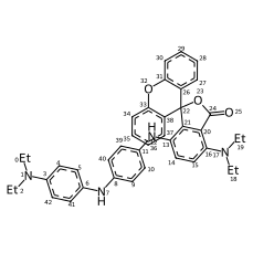 CCN(CC)c1ccc(Nc2ccc(Nc3ccc(N(CC)CC)c4c3C3(OC4=O)c4ccccc4Oc4ccccc43)cc2)cc1